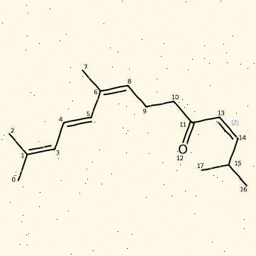 CC(C)=CC=CC(C)=CCCC(=O)/C=C\C(C)C